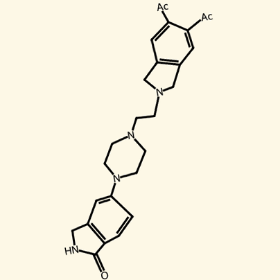 CC(=O)c1cc2c(cc1C(C)=O)CN(CCN1CCN(c3ccc4c(c3)CNC4=O)CC1)C2